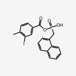 Cc1ccc(C(=O)OP(=O)(O)Cc2cccc3ccccc23)cc1I